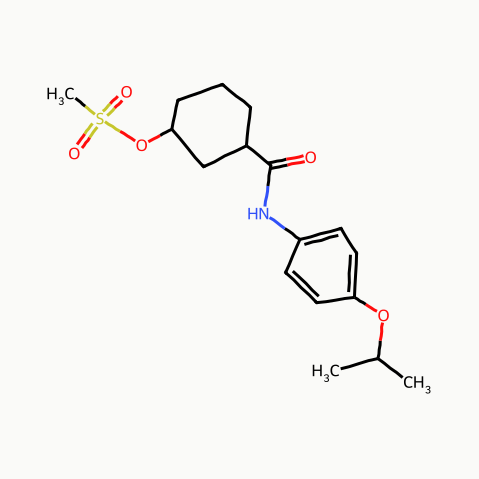 CC(C)Oc1ccc(NC(=O)C2CCCC(OS(C)(=O)=O)C2)cc1